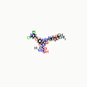 CC(C(=O)NO)N1CCC(CC(=O)Nc2nc(CC(=O)OC(C)(C)C)cs2)(c2ccc(OCc3cc(Cl)nc(Cl)c3)cc2)C1=O